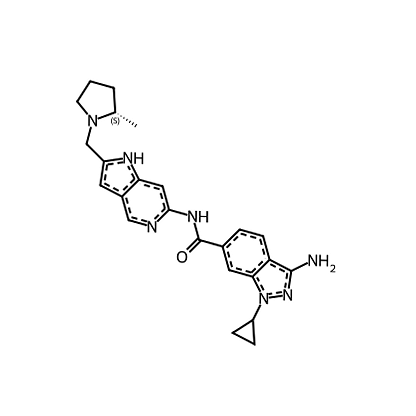 C[C@H]1CCCN1Cc1cc2cnc(NC(=O)c3ccc4c(N)nn(C5CC5)c4c3)cc2[nH]1